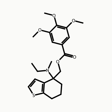 CCN(C)C1(COC(=O)c2cc(OC)c(OC)c(OC)c2)CCCc2sccc21